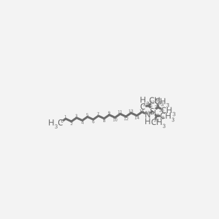 CCCCCCCCCCCCCCCCN[Si](C(C)C)(C(C)C)C(C)C